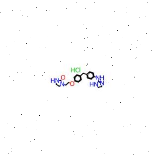 Cl.O=C1NCCN1CCOc1ccc(Cc2ccc(NC3=NCCN3)cc2)cc1